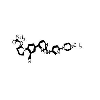 CN1CCN(c2ccc(Nc3nccc(-c4ccc(N5CCC[C@H]5OC(N)=O)c(C#N)c4)n3)cn2)CC1